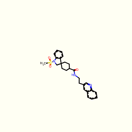 CS(=O)(=O)N1CC2(CCC(C(=O)NCCc3cnc4ccccc4c3)CC2)c2ccccc21